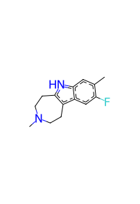 Cc1cc2[nH]c3c(c2cc1F)CCN(C)CC3